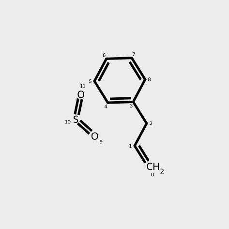 C=CCc1ccccc1.O=S=O